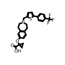 O=C(O)C1(Oc2ccc3c(c2)CCN(Cc2ccc(-c4ccc(C(F)(F)F)cc4)s2)CC3)CC1